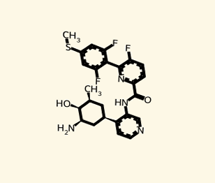 CSc1cc(F)c(-c2nc(C(=O)Nc3cnccc3[C@H]3C[C@@H](N)[C@@H](O)[C@@H](C)C3)ccc2F)c(F)c1